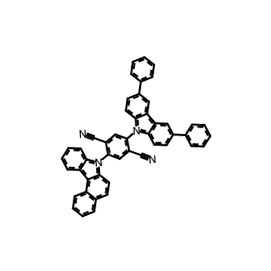 N#Cc1cc(-n2c3ccccc3c3c4ccccc4ccc32)c(C#N)cc1-n1c2ccc(-c3ccccc3)cc2c2cc(-c3ccccc3)ccc21